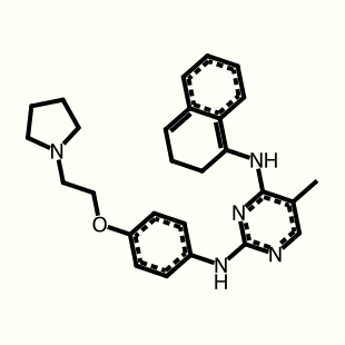 Cc1cnc(Nc2ccc(OCCN3CCCC3)cc2)nc1NC1=c2ccccc2=CCC1